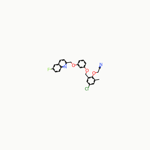 Cc1cc(Cl)cc(COc2cccc(OCc3ccc4cc(F)ccc4n3)c2)c1OCC#N